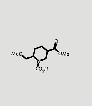 COCC1CCC(C(=O)OC)CN1C(=O)O